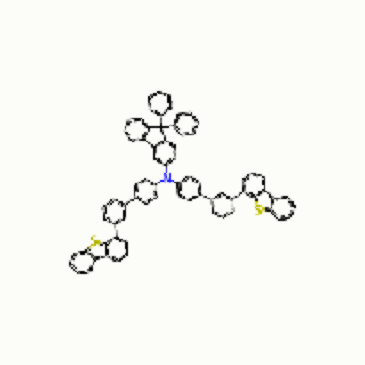 c1ccc(C2(c3ccccc3)c3ccccc3-c3cc(N(c4ccc(-c5cccc(-c6cccc7c6sc6ccccc67)c5)cc4)c4ccc(-c5cccc(-c6cccc7c6sc6ccccc67)c5)cc4)ccc32)cc1